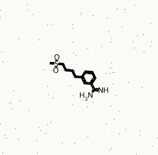 CS(=O)(=O)CC[CH]Cc1cccc(C(=N)N)c1